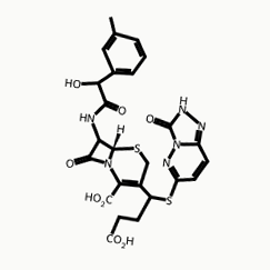 Cc1cccc(C(O)C(=O)NC2C(=O)N3C(C(=O)O)=C(C(CCC(=O)O)Sc4ccc5n[nH]c(=O)n5n4)CS[C@@H]23)c1